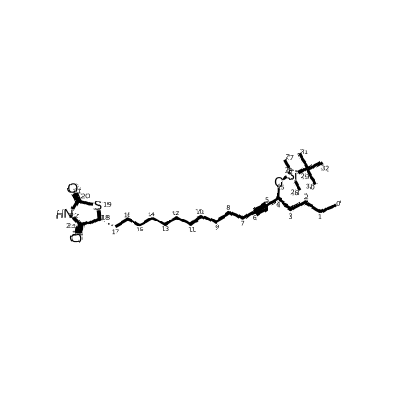 CCCCC(C#CCCCCCCCCCCC[C@H]1SC(=O)NC1=O)O[Si](C)(C)C(C)(C)C